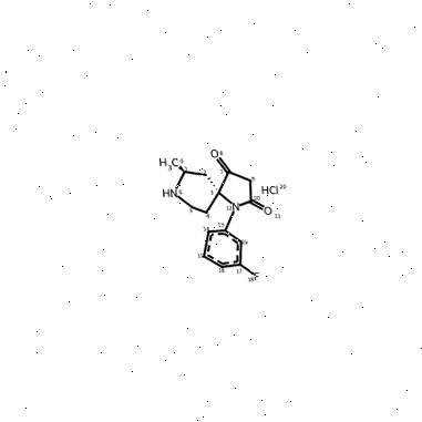 C[C@H]1C[C@]2(CCN1)C(=O)CC(=O)N2c1cccc(F)c1.Cl